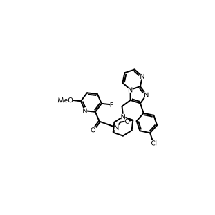 COc1ccc(F)c(C(=O)N2CCC3CCC2CN3Cc2c(-c3ccc(Cl)cc3)nc3ncccn23)n1